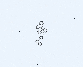 c1ccc2c(-c3ccc(Sc4c5ccccc5c(-c5cc6ccccc6c6ccccc56)c5cnccc45)cc3)cccc2c1